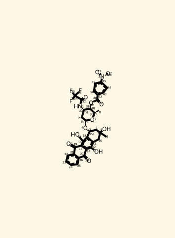 C[C@H]1O[C@@H](O[C@H]2CC(C)(O)Cc3c(O)c4c(c(O)c32)C(=O)c2ccccc2C4=O)C[C@H](NC(=O)C(F)(F)F)[C@H]1OC(=O)c1ccc([N+](=O)[O-])cc1